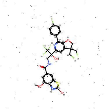 COc1cc(C(=O)NCC(O)(c2cc3c(c(-c4ccc(F)cc4)n2)OCC3(CF)CF)C(F)(F)F)cc2sc(Br)nc12